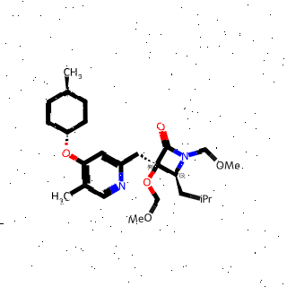 COCO[C@@]1(Cc2cc(O[C@H]3CC[C@H](C)CC3)c(C)cn2)C(=O)N(COC)[C@H]1CC(C)C